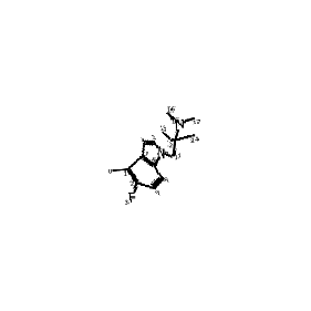 Cc1c(F)ccc2c1ccn2CC(C)(C)N(C)C